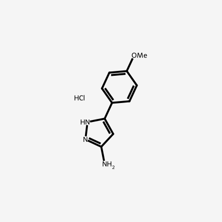 COc1ccc(-c2cc(N)n[nH]2)cc1.Cl